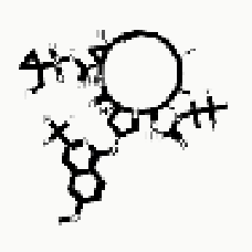 COc1ccc2c(O[C@@H]3C[C@H]4C(=O)N[C@]5(C(=O)NS(=O)(=O)C6(CF)CC6)C[C@H]5C=CCC[C@H](C)C[C@@H](C)[C@H](N(C(=O)O)C(C)(C)C(C)(F)F)C(=O)N4C3)nc(C(F)(F)F)cc2c1